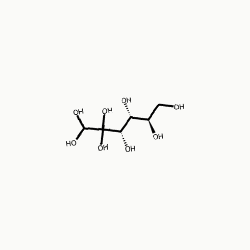 OC[C@@H](O)[C@@H](O)[C@H](O)C(O)(O)C(O)O